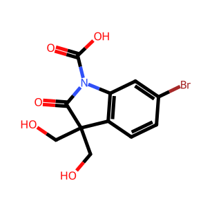 O=C(O)N1C(=O)C(CO)(CO)c2ccc(Br)cc21